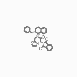 O=C1c2ccccc2C(=O)N1CC(=O)N(Cc1nccs1)[C@@H]1c2ccccc2CC[C@H]1Cc1ccccc1